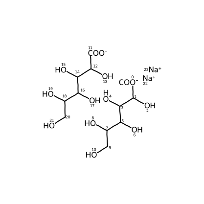 O=C([O-])C(O)C(O)C(O)C(O)CO.O=C([O-])C(O)C(O)C(O)C(O)CO.[Na+].[Na+]